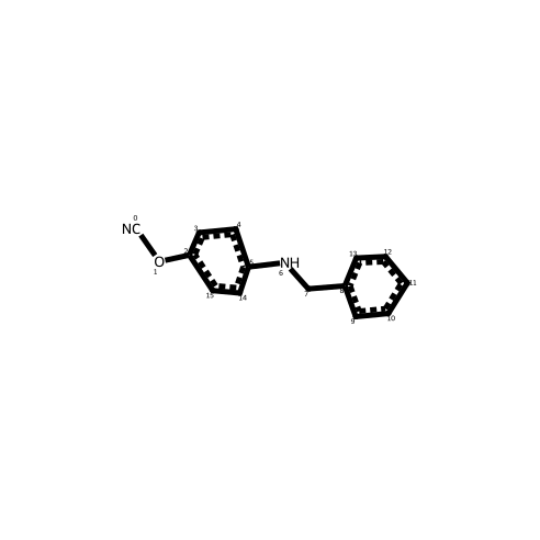 N#COc1ccc(NCc2ccccc2)cc1